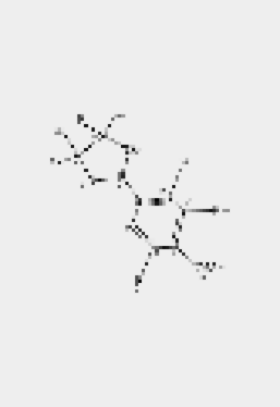 COc1c(F)cc(B2OC(C)(C)C(C)(C)O2)c(F)c1F